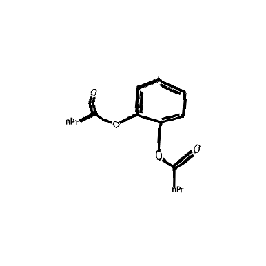 CCCC(=O)Oc1c[c]ccc1OC(=O)CCC